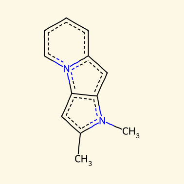 Cc1cc2c(cc3ccccn32)n1C